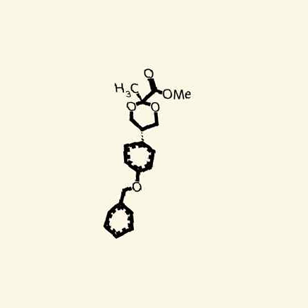 COC(=O)[C@]1(C)OC[C@H](c2ccc(OCc3ccccc3)cc2)CO1